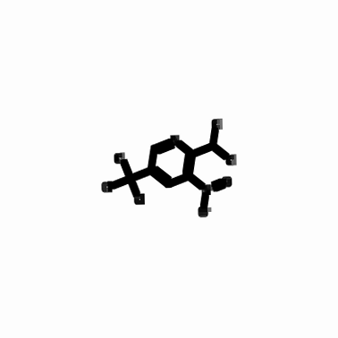 O=[N+]([O-])c1cc(C(Cl)(Cl)Cl)cnc1C(Cl)Cl